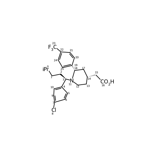 CC(C)CC[C@H](c1ccc(Cl)cc1)N1CC[C@@H](CC(=O)O)C[C@H]1c1ccc(C(F)(F)F)cc1